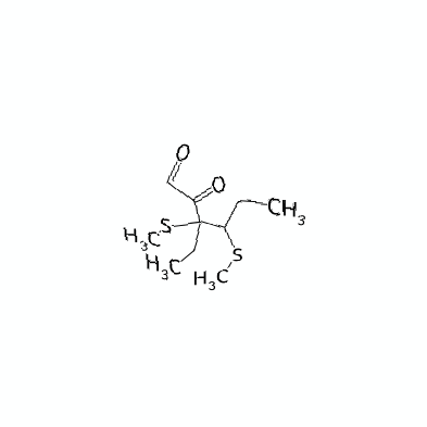 CCC(SC)C(CC)(SC)C(=O)C=O